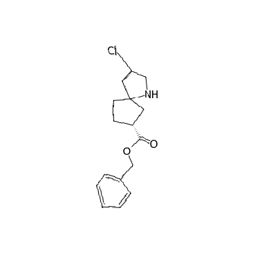 O=C(OCc1ccccc1)[C@@H]1CCC2(CC(Cl)CN2)C1